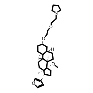 CO[C@]12CC[C@H](c3ccoc3)[C@@]1(C)CC[C@H]1[C@H]2CC[C@@H]2C[C@@H](OCCOCCN3CCCC3)CC[C@@]21C